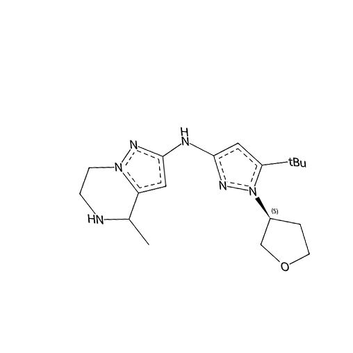 CC1NCCn2nc(Nc3cc(C(C)(C)C)n([C@H]4CCOC4)n3)cc21